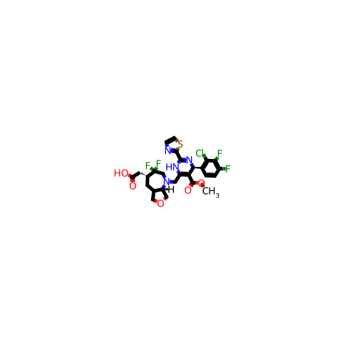 COC(=O)C1=C(CN2CC(F)(F)[C@@H](CC(=O)O)CC3COC[C@H]32)NC(c2nccs2)=N[C@H]1c1ccc(F)c(F)c1Cl